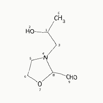 CC(O)CN1CCOC1C=O